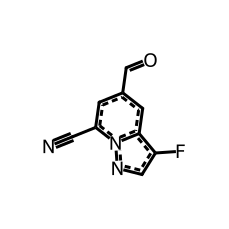 N#Cc1cc(C=O)cc2c(F)cnn12